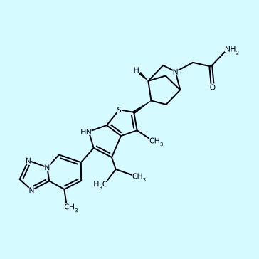 Cc1c([C@@H]2CC3C[C@H]2CN3CC(N)=O)sc2[nH]c(-c3cc(C)c4ncnn4c3)c(C(C)C)c12